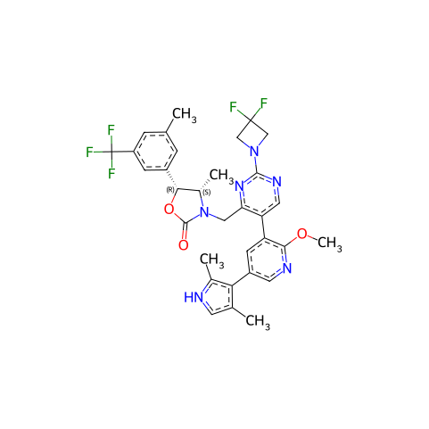 COc1ncc(-c2c(C)c[nH]c2C)cc1-c1cnc(N2CC(F)(F)C2)nc1CN1C(=O)O[C@H](c2cc(C)cc(C(F)(F)F)c2)[C@@H]1C